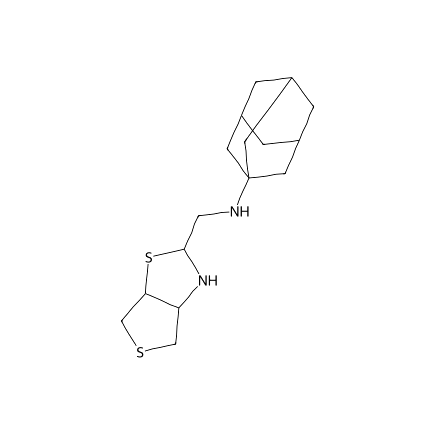 C1C2CC3CC1CC(NCC1NC4CSCC4S1)(C2)C3